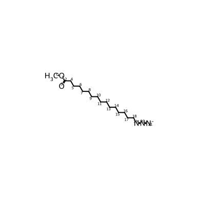 COC(=O)CCCCCCCCCCCCCCCN=[N+]=[N-]